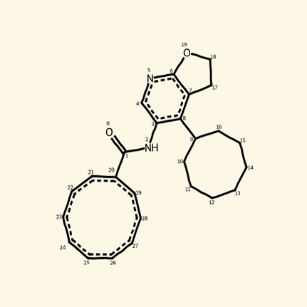 O=C(Nc1cnc2c(c1C1CCCCCCC1)CCO2)c1ccccccccc1